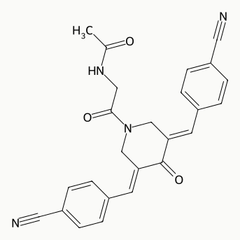 CC(=O)NCC(=O)N1C/C(=C\c2ccc(C#N)cc2)C(=O)/C(=C/c2ccc(C#N)cc2)C1